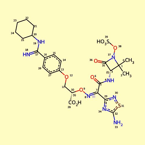 CC1(C)[C@H](NC(=O)/C(=N\O[C@@H](COc2ccc(C(=N)NC3CCCCC3)cc2)C(=O)O)c2nsc(N)n2)C(=O)N1OS(=O)(=O)O